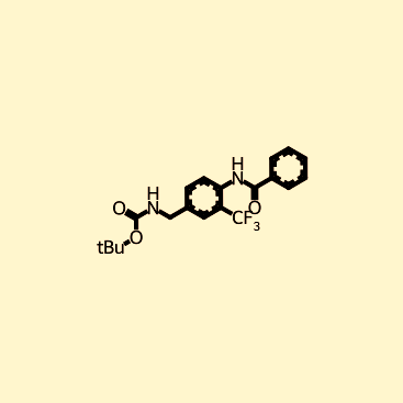 CC(C)(C)OC(=O)NCc1ccc(NC(=O)c2ccccc2)c(C(F)(F)F)c1